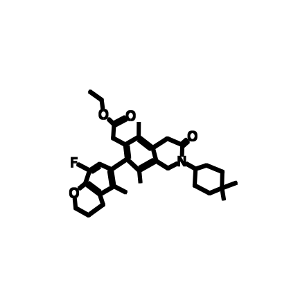 CCOC(=O)Cc1c(C)c2c(c(C)c1-c1cc(F)c3c(c1C)CCCO3)CN(C1CCC(C)(C)CC1)C(=O)C2